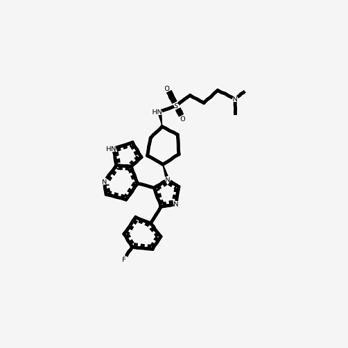 CN(C)CCCS(=O)(=O)N[C@H]1CC[C@@H](n2cnc(-c3ccc(F)cc3)c2-c2ccnc3[nH]ccc23)CC1